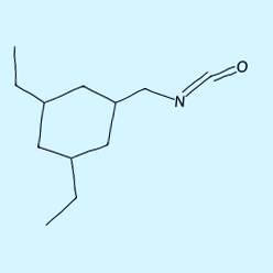 CCC1CC(CC)CC(CN=C=O)C1